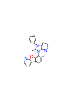 Cc1ccc2c(oc3ncccc32)c1N1c2ncccc2N(c2ccccc2)[C@@H]1C